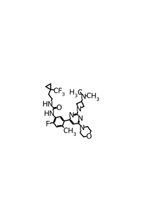 Cc1cc(F)c(NC(=O)NCCC2(C(F)(F)F)CC2)cc1-c1cc(N2CCOCC2)nc(N2CC(N(C)C)C2)n1